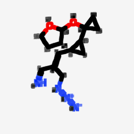 [N-]=[N+]=NC/C(C=N)=C\C1CC1C1(OC2CCCO2)CC1